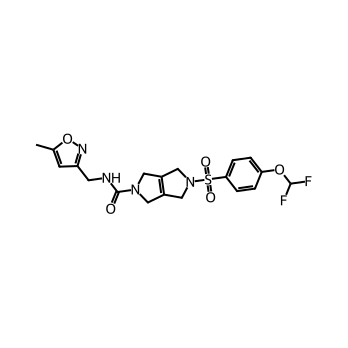 Cc1cc(CNC(=O)N2CC3=C(C2)CN(S(=O)(=O)c2ccc(OC(F)F)cc2)C3)no1